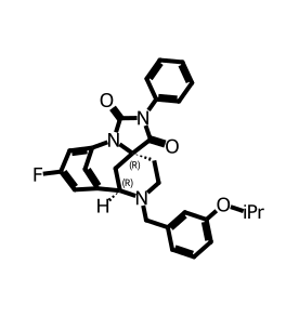 CC(C)Oc1cccc(CN2CC[C@]34C[C@@H]2c2cc(F)cc(c2)N3C(=O)N(c2ccccc2)C4=O)c1